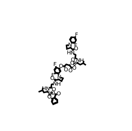 CC(C)CC(NC(=O)CNC(=O)C1CCN1c1cc(OC(=O)CC2OB(C(CC(C)C)NC(=O)CNC(=O)C3CCN3c3ccc(F)cc3F)OC2=O)c(F)cc1F)B1OC(=O)c2ccccc2O1